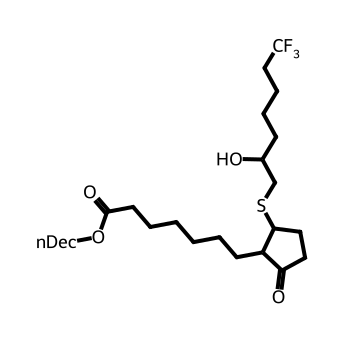 CCCCCCCCCCOC(=O)CCCCCCC1C(=O)CCC1SCC(O)CCCCC(F)(F)F